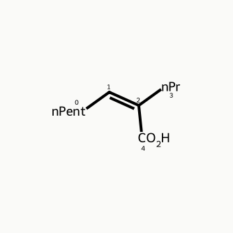 CCCCC/C=C(/CCC)C(=O)O